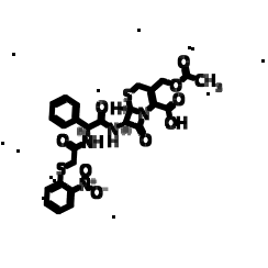 CC(=O)OCC1=C(C(=O)O)N2C(=O)[C@@H](NC(=O)[C@@H](NC(=O)CSc3ccccc3[N+](=O)[O-])c3ccccc3)[C@H]2SC1